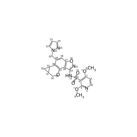 COc1ccnc(OC)c1S(=O)(=O)Nc1noc2cc(Cn3cccn3)c3c(c12)OCC1CC31